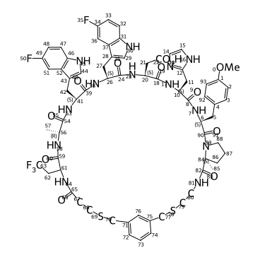 COc1ccc(C[C@@H]2NC(=O)[C@H](Cc3ncc[nH]3)NC(=O)[C@H](CC(=O)O)NC(=O)[C@H](Cc3c[nH]c4ccc(F)cc34)NC(=O)[C@H](Cc3c[nH]c4ccc(F)cc34)NC(=O)[C@@H](C)NC(=O)C(CC(F)(F)F)NC(=O)CCSCc3cccc(c3)CSCCNC(=O)[C@]3(C)CCCN3C2=O)cc1